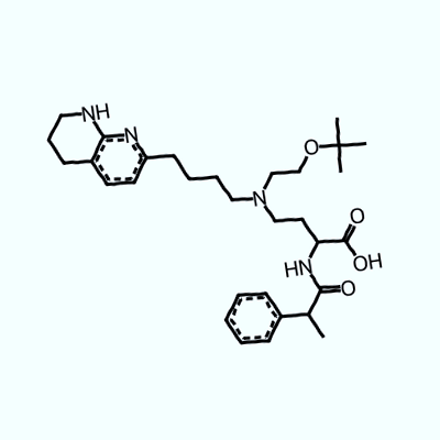 CC(C(=O)NC(CCN(CCCCc1ccc2c(n1)NCCC2)CCOC(C)(C)C)C(=O)O)c1ccccc1